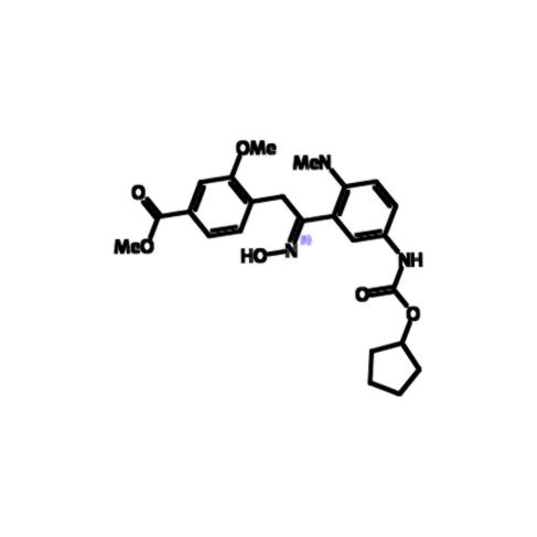 CNc1ccc(NC(=O)OC2CCCC2)cc1/C(Cc1ccc(C(=O)OC)cc1OC)=N/O